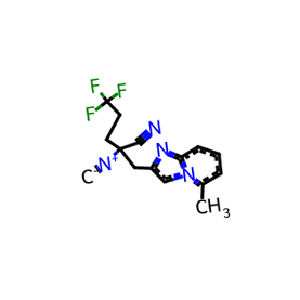 [C-]#[N+]C(C#N)(CCC(F)(F)F)Cc1cn2c(C)cccc2n1